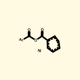 CC(=O)C(=O)OC(=O)c1ccccc1.[Ni]